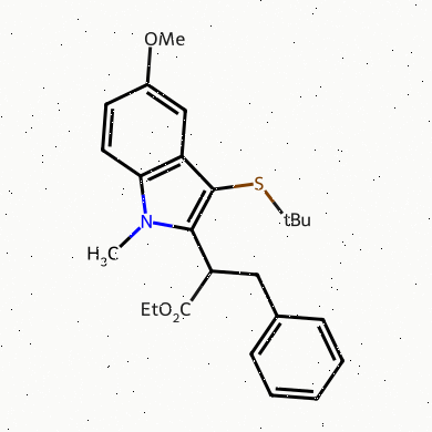 CCOC(=O)C(Cc1ccccc1)c1c(SC(C)(C)C)c2cc(OC)ccc2n1C